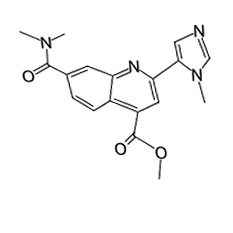 COC(=O)c1cc(-c2cncn2C)nc2cc(C(=O)N(C)C)ccc12